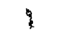 CC(C)=NOCCN1CCN(C)CC1